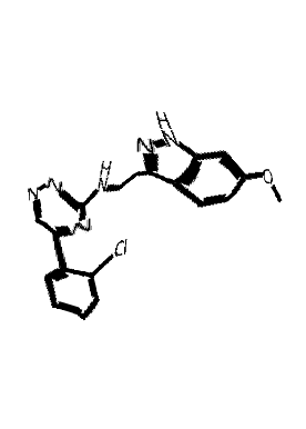 COc1ccc2c(CNc3nncc(-c4ccccc4Cl)n3)n[nH]c2c1